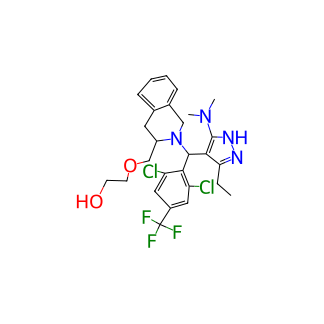 CCc1n[nH]c(N(C)C)c1C(c1c(Cl)cc(C(F)(F)F)cc1Cl)N1Cc2ccccc2CC1COCCO